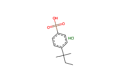 CCC(C)(C)c1ccc(S(=O)(=O)O)cc1.Cl